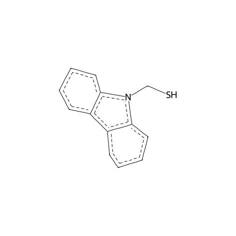 SCn1c2ccccc2c2ccccc21